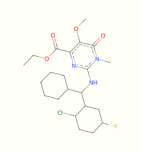 CCOC(=O)c1nc(NC(C2CCCCC2)C2CC(F)CCC2Cl)n(C)c(=O)c1OC